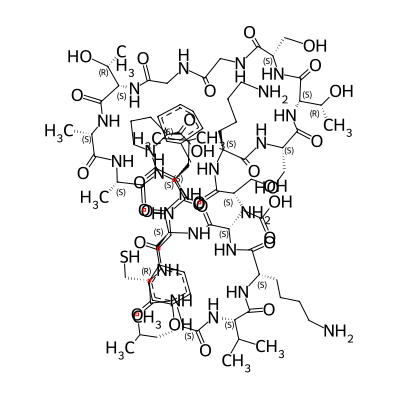 CC(C)C[C@H](NC(=O)[C@H](C)NC(=O)[C@H](C)NC(=O)[C@@H](NC(=O)CNC(=O)CNC(=O)[C@H](CO)NC(=O)[C@@H](NC(=O)[C@H](CO)NC(=O)[C@H](CCCCN)NC(=O)[C@@H](N)CO)[C@@H](C)O)[C@@H](C)O)C(=O)NCC(=O)N[C@@H](CS)C(=O)N[C@@H](CC(C)C)C(=O)N[C@H](C(=O)N[C@@H](CCCCN)C(=O)N[C@@H](CC(=O)O)C(=O)N[C@@H](Cc1ccc(O)cc1)C(=O)N[C@@H](Cc1ccccc1)C(=O)N1CCC[C@H]1C(=O)O)C(C)C